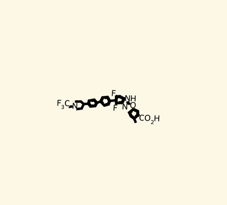 Cc1ccc(Oc2nc3c(F)c(-c4ccc(-c5ccc(C6CCN(CC(F)(F)F)CC6)cc5)cc4)c(F)cc3[nH]2)cc1C(=O)O